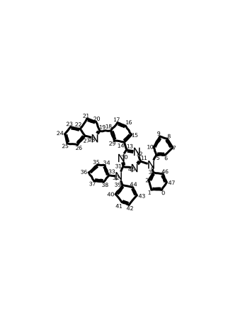 c1ccc(N(c2ccccc2)c2nc(-c3cccc(-c4ccc5ccccc5n4)c3)nc(N(c3ccccc3)c3ccccc3)n2)cc1